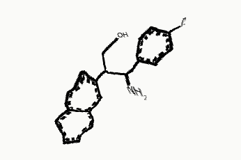 NC(c1ccc(F)cc1)C(CO)c1ccc2ccccc2c1